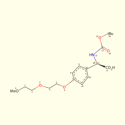 COCCOCCOc1ccc([C@@H](NC(=O)OC(C)(C)C)C(=O)O)cc1